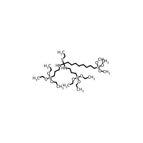 CCO[Si](CCCNC(CCCCCCCC[Si](OC)(OC)OC)(NCCC[Si](OCC)(OCC)OCC)SCC)(OCC)OCC